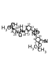 CC(C)Oc1ccc(-c2nc(-c3cccc4c3CC[C@H]4NC(=O)N3CC[C@@H](N(C)C)C3)no2)cc1C#N